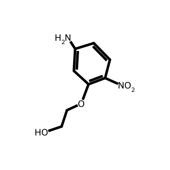 Nc1ccc([N+](=O)[O-])c(OCCO)c1